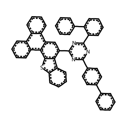 c1ccc(-c2ccc(-c3nc(-c4ccccc4-c4ccccc4)nc(-c4cc5c6ccccc6c6ccccc6c5c5sc6ccccc6c45)n3)cc2)cc1